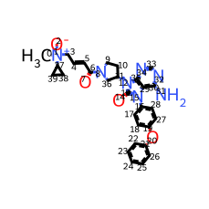 C[N+]([O-])(C/C=C/C(=O)N1CC[C@@H](n2c(=O)n(-c3ccc(Oc4ccccc4)cc3)c3c(N)ncnc32)C1)C1CC1